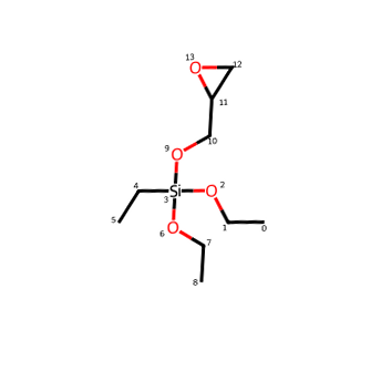 CCO[Si](CC)(OCC)OCC1CO1